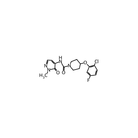 Cn1nccc(NC(=O)N2CCC(Oc3cc(F)ccc3Cl)CC2)c1=O